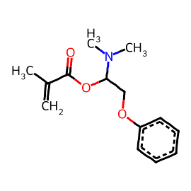 C=C(C)C(=O)OC(COc1ccccc1)N(C)C